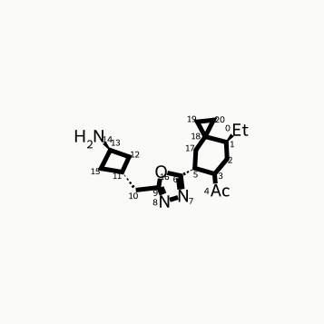 CC[C@H]1CC(C(C)=O)[C@H](c2nnc(C[C@H]3C[C@H](N)C3)o2)CC12CC2